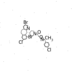 C/C(=N\OCC(=O)N1CCC([C@H]2c3ncc(Br)cc3CCc3cc(Cl)cc(Br)c32)CC1)c1ccc(Cl)cc1